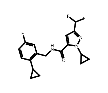 O=C(NCc1cc(F)ccc1C1CC1)c1cc(C(F)F)nn1C1CC1